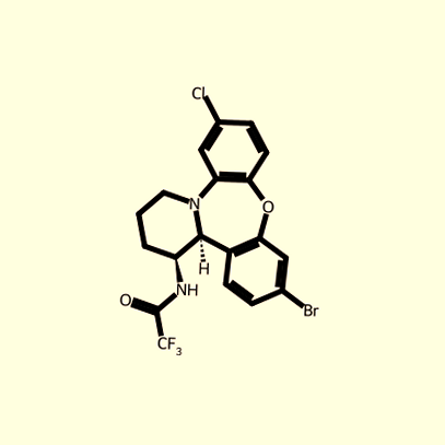 O=C(N[C@H]1CCCN2c3cc(Cl)ccc3Oc3cc(Br)ccc3[C@@H]12)C(F)(F)F